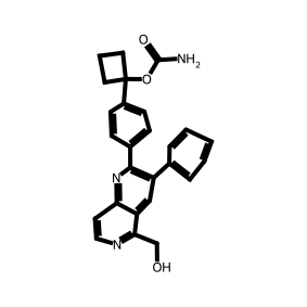 NC(=O)OC1(c2ccc(-c3nc4ccnc(CO)c4cc3-c3ccccc3)cc2)CCC1